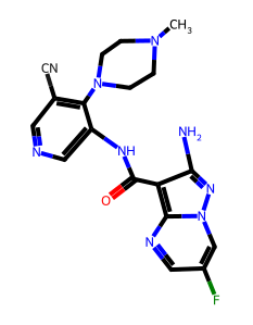 CN1CCN(c2c(C#N)cncc2NC(=O)c2c(N)nn3cc(F)cnc23)CC1